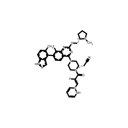 Cc1ccc2[nH]ncc2c1-c1ccc2c(N3CCN(C(=O)/C(F)=C/N4C=CC=CN4)[C@@H](CC#N)C3)nc(OC[C@@H]3CCCN3C)nc2c1F